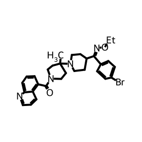 CCON=C(c1ccc(Br)cc1)C1CCN(C2(C)CCN(C(=O)c3cccc4ncccc34)CC2)CC1